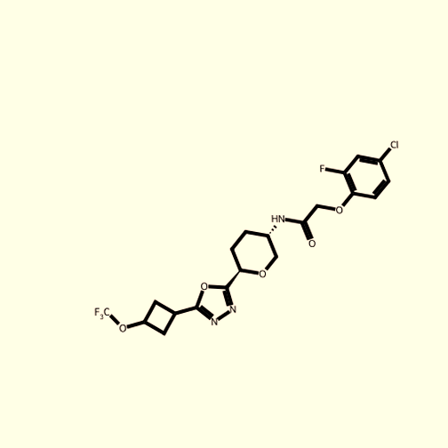 O=C(COc1ccc(Cl)cc1F)N[C@H]1CC[C@H](c2nnc(C3CC(OC(F)(F)F)C3)o2)OC1